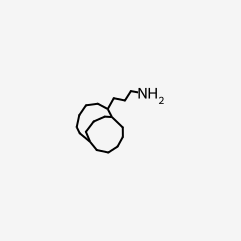 NCCCC1CCCCCC2CCCCCC1CCC2